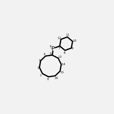 C1CCCCC([P]C2CCCCC2)CCCC1